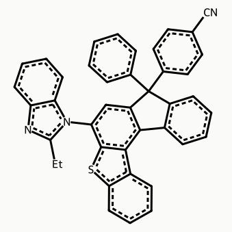 CCc1nc2ccccc2n1-c1cc2c(c3c1sc1ccccc13)-c1ccccc1C2(c1ccccc1)c1ccc(C#N)cc1